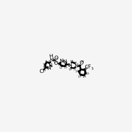 O=C(Nc1ccc(Cl)nn1)Oc1ccc(N2CCN(C(=O)c3ccccc3C(F)(F)F)CC2)nn1